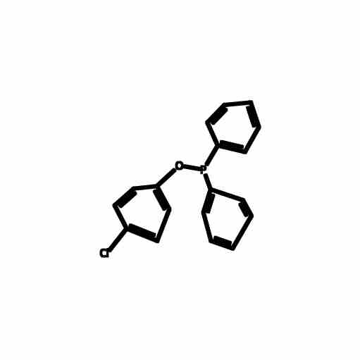 Clc1ccc(OP(c2ccccc2)c2ccccc2)cc1